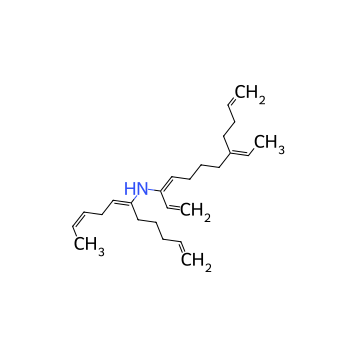 C=CCCC/C(=C\C/C=C\C)N/C(C=C)=C/CCC/C(=C/C)CCC=C